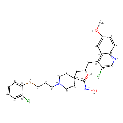 COc1ccc2ncc(Cl)c(CCCC3(C(=O)NO)CCN(CCCSc4ccccc4Cl)CC3)c2c1